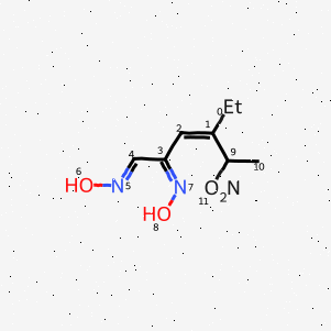 CCC(=CC(C=NO)=NO)C(C)[N+](=O)[O-]